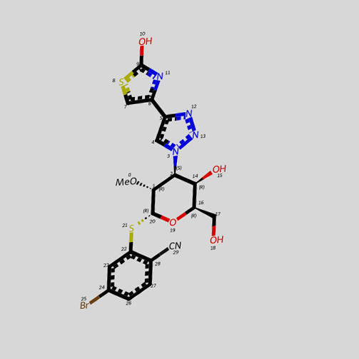 CO[C@@H]1[C@@H](n2cc(-c3csc(O)n3)nn2)[C@@H](O)[C@@H](CO)O[C@@H]1Sc1cc(Br)ccc1C#N